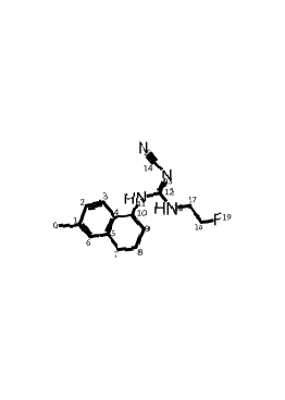 Cc1ccc2c(c1)CCCC2N/C(=N\C#N)NCCF